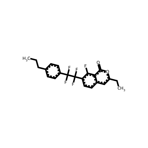 CCCc1ccc(C(F)(F)C(F)(F)c2ccc3cc(CC)oc(=O)c3c2F)cc1